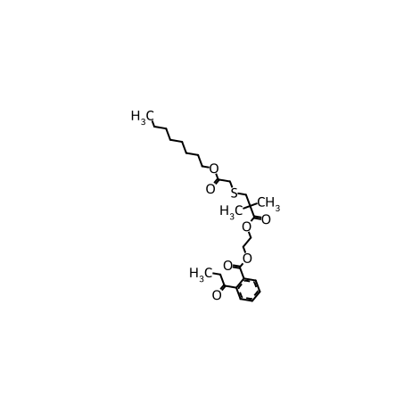 CCCCCCCCOC(=O)CSCC(C)(C)C(=O)OCCOC(=O)c1ccccc1C(=O)CC